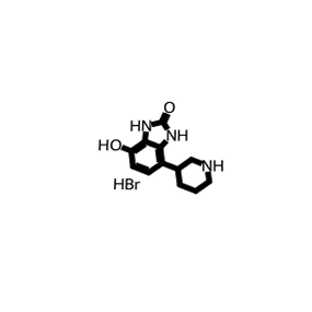 Br.O=c1[nH]c2c(O)ccc(C3CCCNC3)c2[nH]1